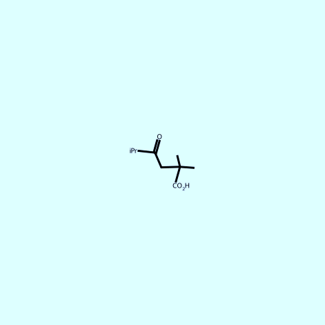 CC(C)C(=O)CC(C)(C)C(=O)O